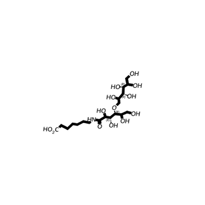 O=C(O)CCCCCCNC(=O)C(O)[C@@H](O)[C@H](OCC(O)[C@@H](O)[C@H](O)C(O)CO)C(O)CO